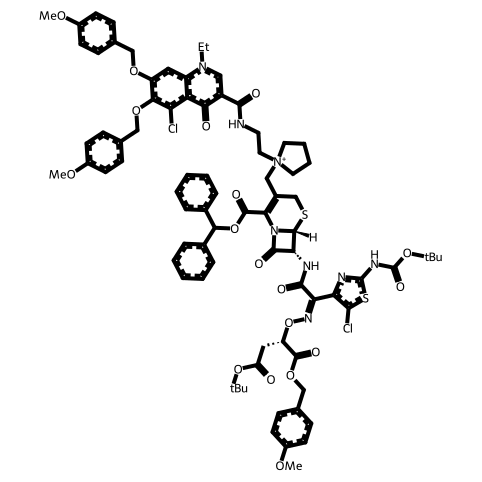 CCn1cc(C(=O)NCC[N+]2(CC3=C(C(=O)OC(c4ccccc4)c4ccccc4)N4C(=O)[C@@H](NC(=O)/C(=N\O[C@@H](CC(=O)OC(C)(C)C)C(=O)OCc5ccc(OC)cc5)c5nc(NC(=O)OC(C)(C)C)sc5Cl)[C@H]4SC3)CCCC2)c(=O)c2c(Cl)c(OCc3ccc(OC)cc3)c(OCc3ccc(OC)cc3)cc21